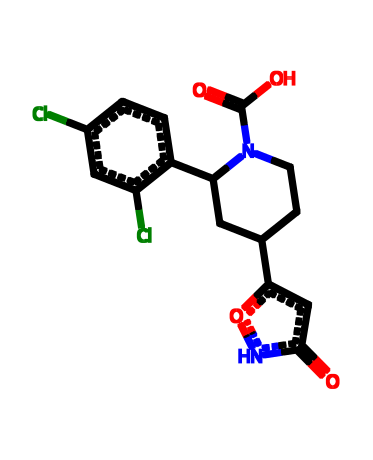 O=C(O)N1CCC(c2cc(=O)[nH]o2)CC1c1ccc(Cl)cc1Cl